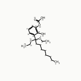 CCCCCCCCC(OCC)(OCC)c1cccc(OC(=O)O)c1O